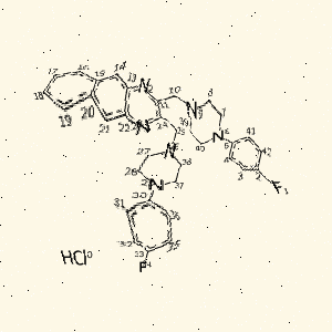 Cl.Fc1ccc(N2CCN(Cc3nc4cc5ccccc5cc4nc3CN3CCN(c4ccc(F)cc4)CC3)CC2)cc1